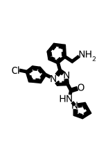 NCc1ccccc1-c1nc(C(=O)Nn2cccc2)cn1-c1ccc(Cl)cc1